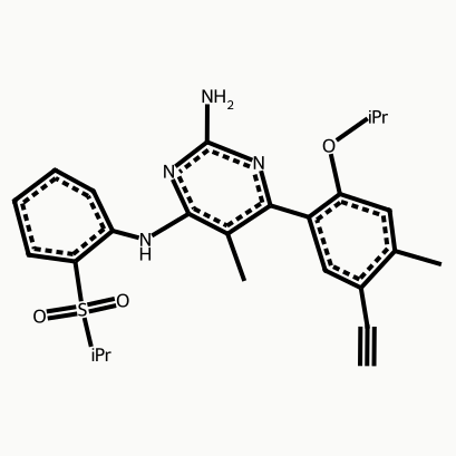 C#Cc1cc(-c2nc(N)nc(Nc3ccccc3S(=O)(=O)C(C)C)c2C)c(OC(C)C)cc1C